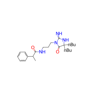 CCCCC1(CCCC)NC(=N)N(CCCNC(=O)C(C)c2ccccc2)C1=O